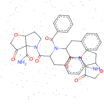 NC(=O)C12C(=O)COC1CCN2C(=O)C(Cc1ccc(N)cc1)N(C(=O)c1ccccc1)C(Cc1ccccc1)C(=O)N1CCC2OCC(=O)C21